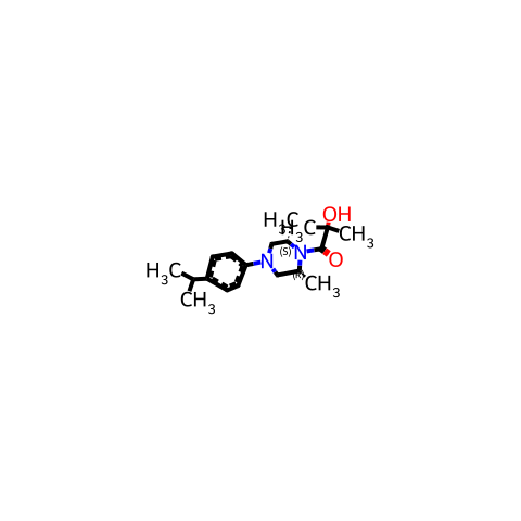 CC(C)c1ccc(N2C[C@@H](C)N(C(=O)C(C)(C)O)[C@@H](C)C2)cc1